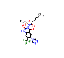 CCCCCC(=O)N(n1c(=O)[nH]c2cc(C(F)(F)F)c(-n3cnnc3)cc2c1=O)S(C)(=O)=O